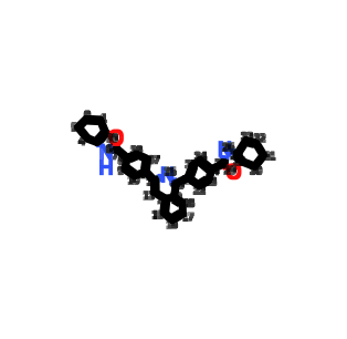 C1=CC2=C(CC1)NC(c1ccc(-c3cc4ccccc4c(-c4ccc(-c5nc6c(o5)CCC=C6)cc4)n3)cc1)O2